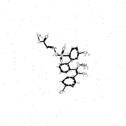 COC(=O)C=NOS(=O)(=O)c1ccc(C)cc1-c1ccccc1C(ON)=C(C)c1ccc(Cl)cc1